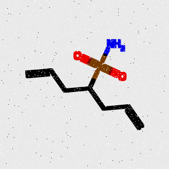 C=CCC(CC=C)S(N)(=O)=O